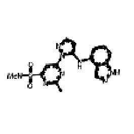 CNS(=O)(=O)c1cc(-n2nccc2Nc2cccc3[nH]ncc23)nc(C)n1